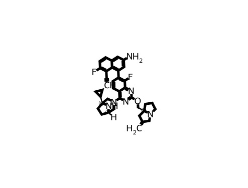 C#Cc1c(F)ccc2cc(N)cc(-c3ccc4c(N5C[C@@H]6CC[C@](C7CC7)(C5)N6)nc(OC[C@@]56CCCN5CC(=C)C6)nc4c3F)c12